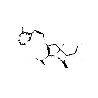 Cc1ncsc1/C=C\SC1=C(C(=O)O)N2C(=O)[C@H]([C@@H](C)O)[C@H]2[C@H]1C